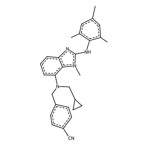 Cc1cc(C)c(Nc2nc3cccc(N(Cc4ccc(C#N)cc4)CC4CC4)c3n2C)c(C)c1